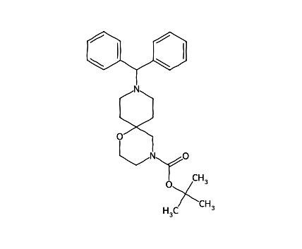 CC(C)(C)OC(=O)N1CCOC2(CCN(C(c3ccccc3)c3ccccc3)CC2)C1